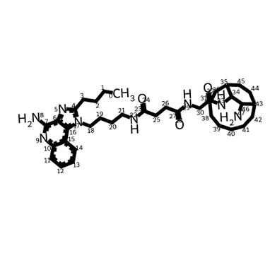 CCCCc1nc2c(N)nc3ccccc3c2n1CCCCNC(=O)CCC(=O)NCC(=O)NC1C2CCCCCCCC(CC2)C1N